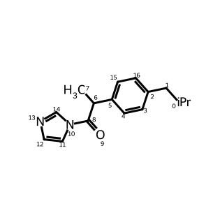 CC(C)Cc1ccc(C(C)C(=O)n2ccnc2)cc1